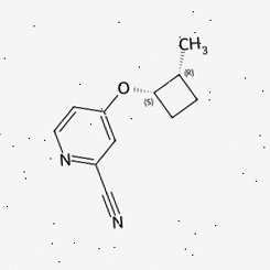 C[C@@H]1CC[C@@H]1Oc1ccnc(C#N)c1